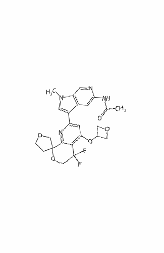 CC(=O)Nc1cc2c(-c3cc(OC4COC4)c4c(n3)C3(CCOC3)OCC4(F)F)cn(C)c2cn1